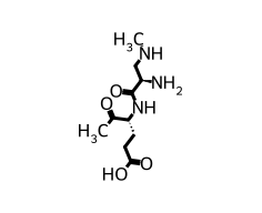 CNC[C@@H](N)C(=O)N[C@H](CCC(=O)O)C(C)=O